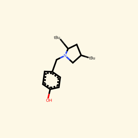 CC(C)(C)C1CC(C(C)(C)C)N(Cc2ccc(O)cc2)C1